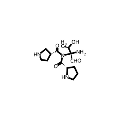 C[C@@H](O)[C@@](N)(C=O)N(C(=O)[C@@H]1CCNC1)C(=O)[C@@H]1CCCN1